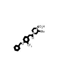 CC(C)(C)C1CN(C(=O)Cc2ccc(OCc3ccccc3)c(C(F)(F)F)c2)CCN1C(=O)O